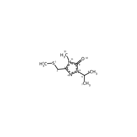 CSCc1nn(C(C)C)c(=O)n1C